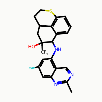 Cc1ncc2c(NC3c4cccc5c4C(CCS5)CC3(O)C(F)(F)F)cc(F)cc2n1